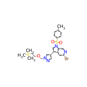 Cc1ccc(S(=O)(=O)n2cc(-c3cnn(COCCS(C)(C)C)c3)c3cc(Br)ncc32)cc1